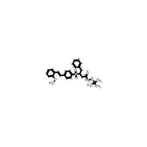 COc1ccccc1/C=C/c1ccc(S(=O)(=O)C(CC(=O)NOC(C)(C)C)Cc2ccccc2)cc1